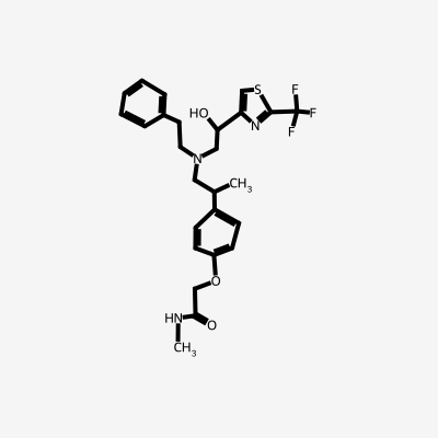 CNC(=O)COc1ccc(C(C)CN(CCc2ccccc2)CC(O)c2csc(C(F)(F)F)n2)cc1